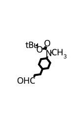 CN(C(=O)OC(C)(C)C)C1CCC(CCC=O)CC1